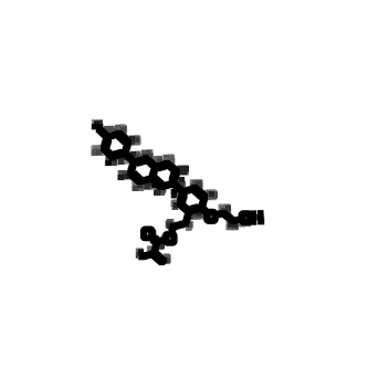 C=C(C)C(=O)OCCc1cc(-c2ccc3cc(-c4ccc(C)cc4)ccc3c2)ccc1OCCO